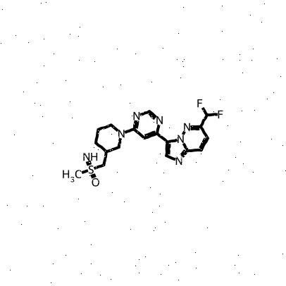 CS(=N)(=O)CC1CCCN(c2cc(-c3cnc4ccc(C(F)F)nn34)ncn2)C1